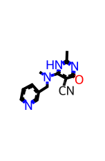 Cc1nc(=O)c(C#N)c(N(C)Cc2cccnc2)[nH]1